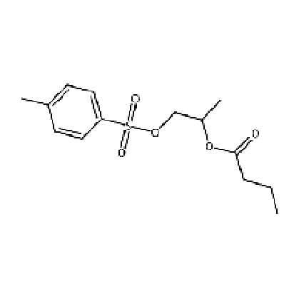 CCCC(=O)OC(C)COS(=O)(=O)c1ccc(C)cc1